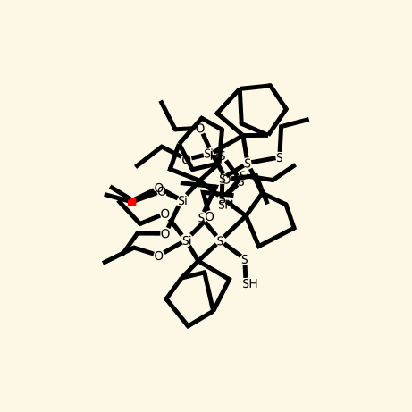 CCO[Si](OCC)(OCC)C1(S(SS)(SCC)C2CCCC2(S(SS)(SCC)C2([Si](OCC)(OCC)OCC)CC3CCC2C3)S(SS)(SCC)C2([Si](OCC)(OCC)OCC)CC3CCC2C3)CC2CCC1C2